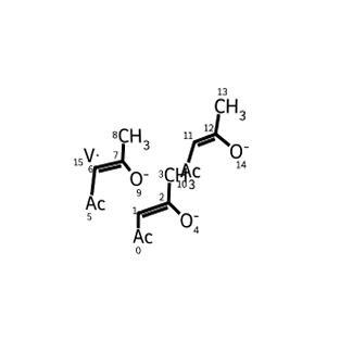 CC(=O)/C=C(/C)[O-].CC(=O)/C=C(/C)[O-].CC(=O)/C=C(/C)[O-].[V]